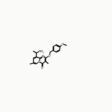 COc1ccc(COc2nc3c(C(C)N)cc(C)cn3c(=O)c2C)cc1